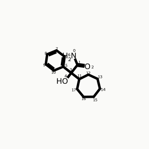 NC(=O)C(O)(c1ccccc1)C1CCCCCC1